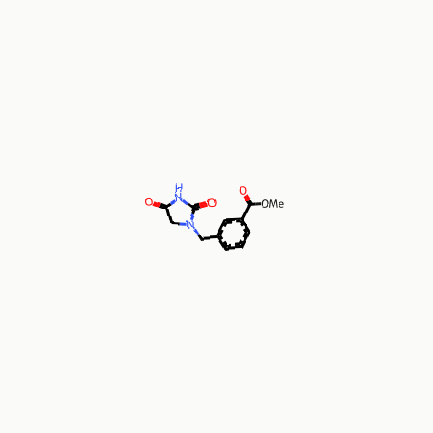 COC(=O)c1cccc(CN2CC(=O)NC2=O)c1